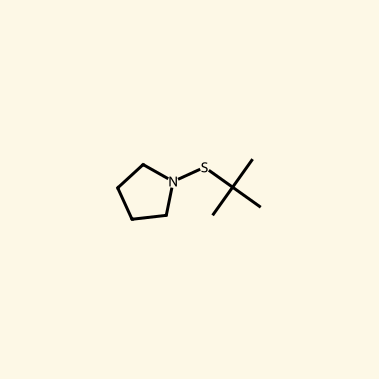 CC(C)(C)SN1CCCC1